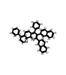 c1ccc(-c2ccnc3c2ccc2c(-c4ccccc4)c(-c4ccc5ccccc5c4)c(-c4ccc5ccccc5c4)nc23)cc1